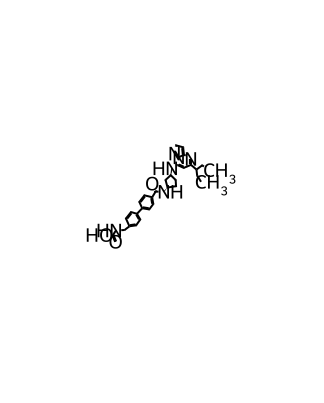 CCC(CC)c1cc(N[C@H]2CC[C@H](NC(=O)c3ccc(-c4ccc(CNC(=O)O)cc4)cc3)C2)n2nccc2n1